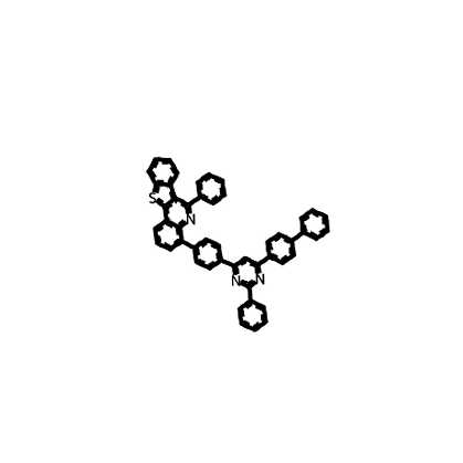 c1ccc(-c2ccc(-c3cc(-c4ccc(-c5cccc6c5nc(-c5ccccc5)c5c7ccccc7sc65)cc4)nc(-c4ccccc4)n3)cc2)cc1